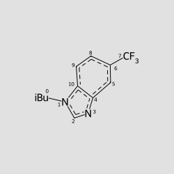 CCC(C)n1cnc2cc(C(F)(F)F)ccc21